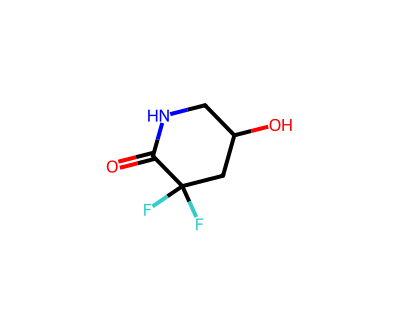 O=C1NCC(O)CC1(F)F